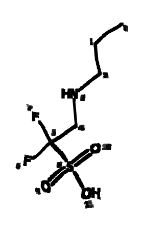 CCCNCC(F)(F)S(=O)(=O)O